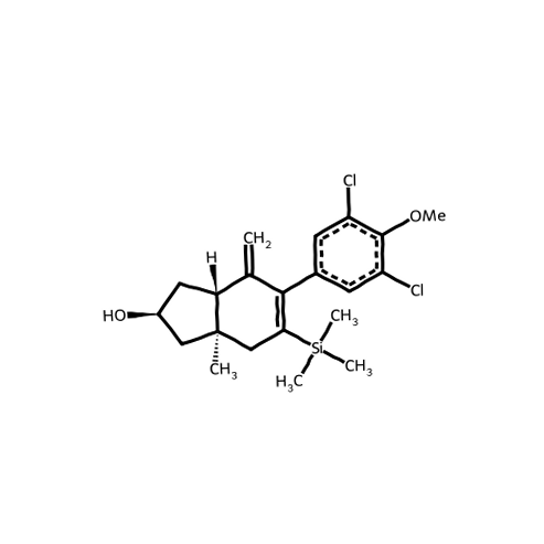 C=C1C(c2cc(Cl)c(OC)c(Cl)c2)=C([Si](C)(C)C)C[C@@]2(C)C[C@@H](O)C[C@H]12